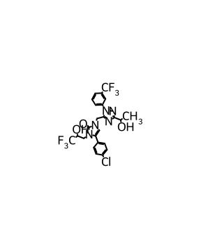 CC(O)c1nc(Cn2cc(-c3ccc(Cl)cc3)n(CC(O)C(F)(F)F)c2=O)n(-c2cccc(C(F)(F)F)c2)n1